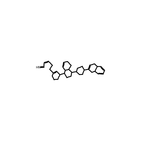 N=C/C=C\CCC1=CC(C2CCC(C3CCC(C4=CCC5C=CC=CC5C4)CC3)C3CCC=CC23)CCC1